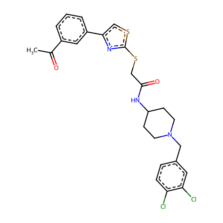 CC(=O)c1cccc(-c2csc(SCC(=O)NC3CCN(Cc4ccc(Cl)c(Cl)c4)CC3)n2)c1